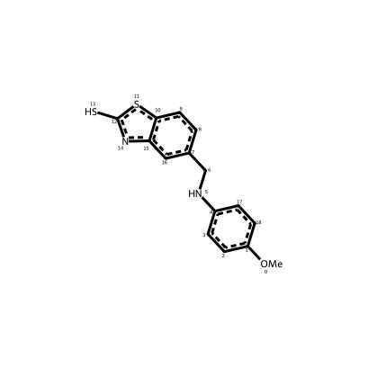 COc1ccc(NCc2ccc3sc(S)nc3c2)cc1